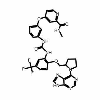 CNC(=O)c1cc(Oc2cccc(NC(=O)Nc3cc(C(F)(F)F)ccc3OCC3CCCN3c3ncnc4[nH]cnc34)c2)ccn1